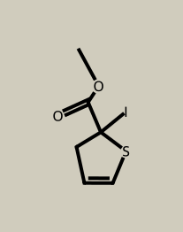 COC(=O)C1(I)CC=CS1